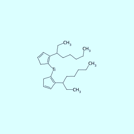 CCCCCC(CC)C1=[C]([Ti][C]2=C(C(CC)CCCCC)C=CC2)CC=C1